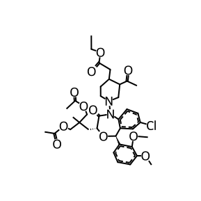 CCOC(=O)CC1CCN(N2C(=O)[C@@H](CC(C)(COC(C)=O)COC(C)=O)O[C@H](c3cccc(OC)c3OC)c3cc(Cl)ccc32)CC1C(C)=O